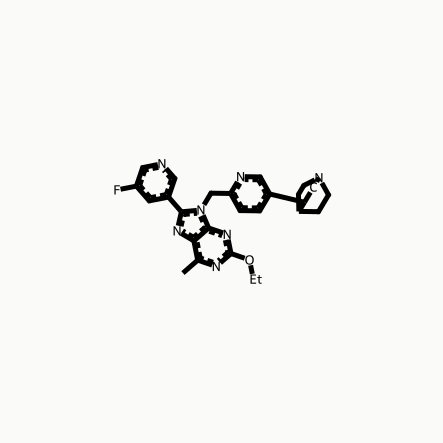 CCOc1nc(C)c2nc(-c3cncc(F)c3)n(Cc3ccc(C4CN5CCC4CC5)cn3)c2n1